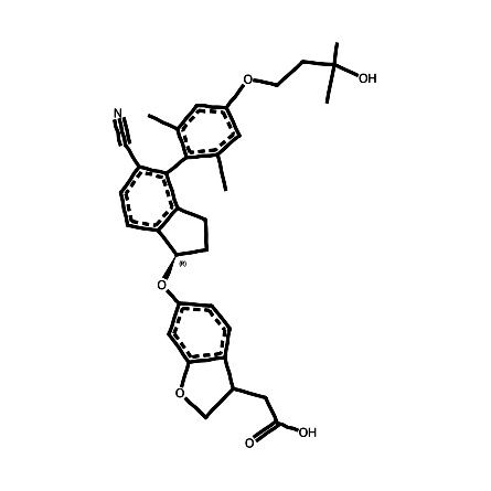 Cc1cc(OCCC(C)(C)O)cc(C)c1-c1c(C#N)ccc2c1CC[C@H]2Oc1ccc2c(c1)OCC2CC(=O)O